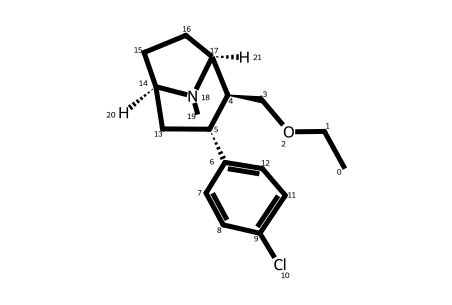 CCOC[C@H]1[C@H](c2ccc(Cl)cc2)C[C@H]2CC[C@@H]1N2C